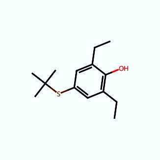 CCc1cc(SC(C)(C)C)cc(CC)c1O